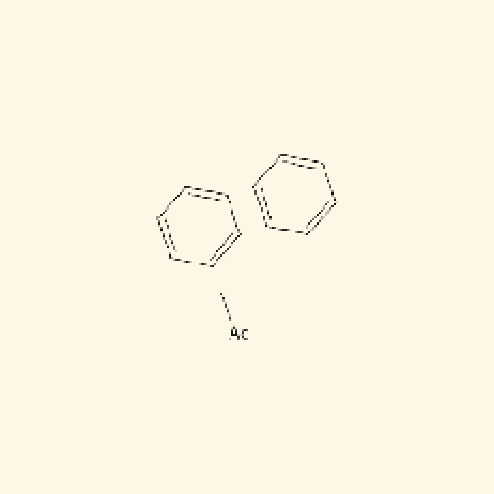 CC(C)=O.c1ccccc1.c1ccccc1